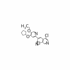 CCOc1cnc(/C(C#N)=C/c2c(Cl)cncc2Cl)cc1OC1CCCC1